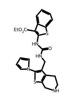 CCOC(=O)c1c(NC(=O)NCc2c(-n3cccc3)sc3c2CCNC3)sc2ccccc12